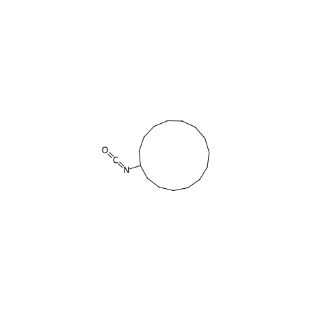 O=C=NC1CCCCCCCCCCCCCC1